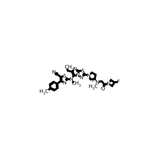 CCc1nc2sc(N3CC[C@@H](N(C)CC(=O)N4CC(F)C4)C3)nn2c1N(C)c1nc(-c2ccc(C)cc2)c(C#N)s1